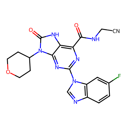 N#CCNC(=O)c1nc(-n2cnc3ccc(F)cc32)nc2c1[nH]c(=O)n2C1CCOCC1